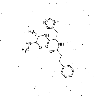 CNC(=O)[C@H](C)NC(=O)[C@H](Cc1cnc[nH]1)NC(=O)CCc1ccccc1